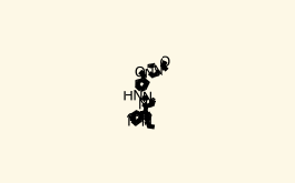 CCn1cc(-c2ccnc(Nc3ccc(C(=O)N4CCN(C(C)=O)CC4)cc3)n2)c2ccncc21